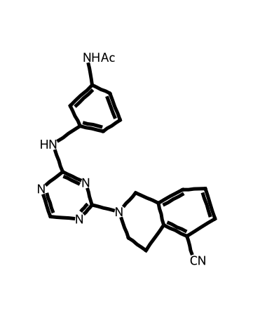 CC(=O)Nc1cccc(Nc2ncnc(N3CCc4c(C#N)cccc4C3)n2)c1